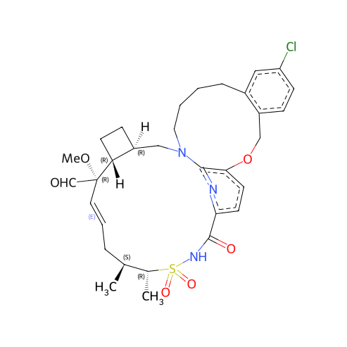 CO[C@@]1(C=O)/C=C/C[C@H](C)[C@@H](C)S(=O)(=O)NC(=O)c2ccc3c(n2)N(CCCCc2cc(Cl)ccc2CO3)C[C@@H]2CC[C@H]21